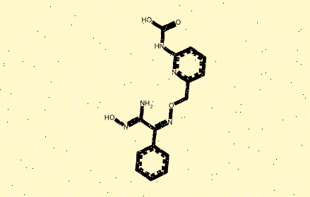 NC(=N\O)/C(=N\OCc1cccc(NC(=O)O)n1)c1ccccc1